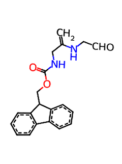 C=C(CNC(=O)OCC1c2ccccc2-c2ccccc21)NCC=O